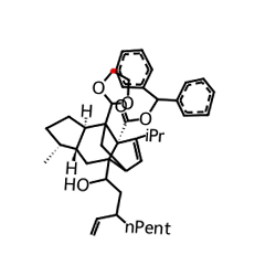 C=CC(CCCCC)CC(O)C12C[C@@H]3[C@H](C)CC[C@H]3C3(C4OCCO4)CC1C=C(C(C)C)[C@@]23C(=O)OC(c1ccccc1)c1ccccc1